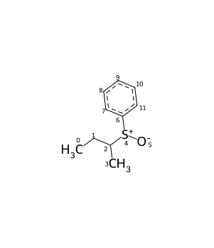 CCC(C)[S+]([O-])c1ccccc1